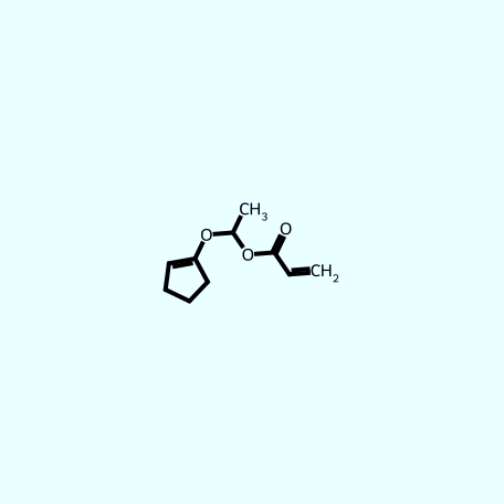 C=CC(=O)OC(C)OC1=CCCC1